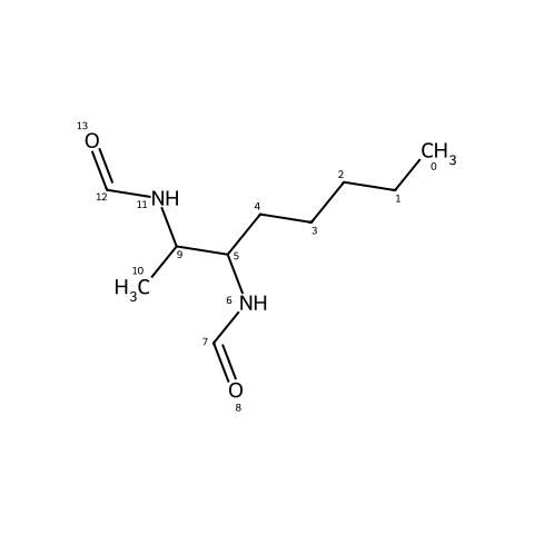 CCCCCC(NC=O)C(C)NC=O